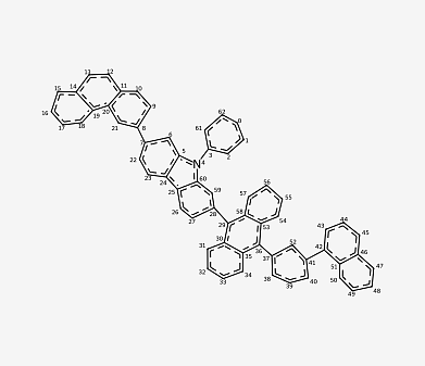 c1ccc(-n2c3cc(-c4ccc5ccc6ccccc6c5c4)ccc3c3ccc(-c4c5ccccc5c(-c5cccc(-c6cccc7ccccc67)c5)c5ccccc45)cc32)cc1